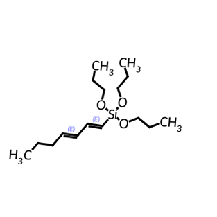 CCC/C=C/C=C/[Si](OCCC)(OCCC)OCCC